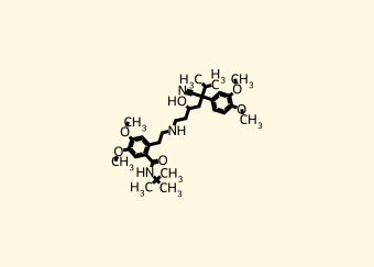 COc1ccc(C(C#N)(CC(O)CCNCCc2cc(OC)c(OC)cc2C(=O)NC(C)(C)C)C(C)C)cc1OC